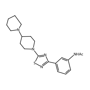 CC(=O)Nc1cccc(-c2nsc(N3CCC(N4CCCCC4)CC3)n2)c1